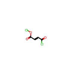 O=C(Cl)C=CC(=O)OCl